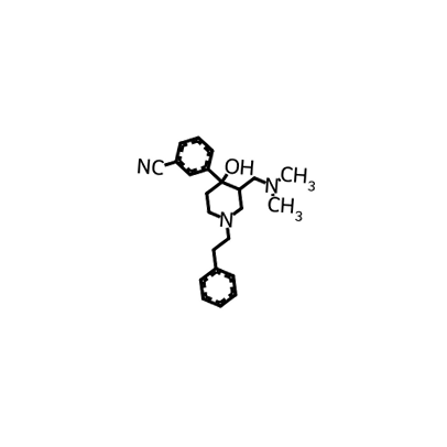 CN(C)CC1CN(CCc2ccccc2)CCC1(O)c1cccc(C#N)c1